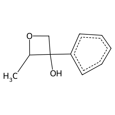 CC1OCC1(O)c1ccccc1